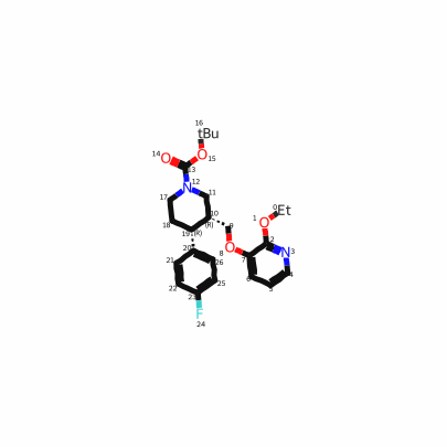 CCOc1ncccc1OC[C@H]1CN(C(=O)OC(C)(C)C)CC[C@H]1c1ccc(F)cc1